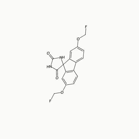 O=C1NC(=O)C2(N1)c1cc(OCF)ccc1-c1ccc(OCF)cc12